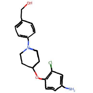 Nc1ccc(OC2CCN(c3ccc(CO)cc3)CC2)c(Cl)c1